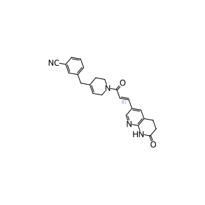 N#Cc1cccc(CC2=CCN(C(=O)/C=C/c3cnc4c(c3)CCC(=O)N4)CC2)c1